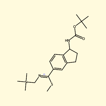 CS/C(=N\C[Si](C)(C)C)c1ccc2c(c1)CCC2NC(=O)OC(C)(C)C